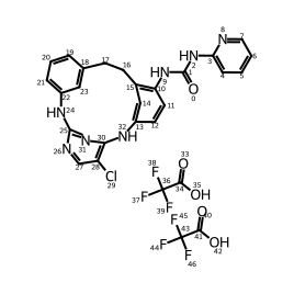 O=C(Nc1ccccn1)Nc1ccc2cc1CCc1cccc(c1)Nc1ncc(Cl)c(n1)N2.O=C(O)C(F)(F)F.O=C(O)C(F)(F)F